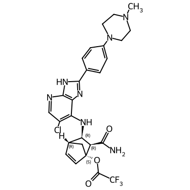 CN1CCN(c2ccc(-c3nc4c(N[C@H]5[C@@H](C(N)=O)[C@@]6(OC(=O)C(F)(F)F)C=C[C@H]5C6)c(Cl)cnc4[nH]3)cc2)CC1